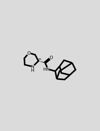 O=C(NC1C2CC3CC(C2)CC1C3)[C@H]1COCCN1